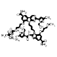 CCn1nc(C)cc1C(=O)Nc1nc2cc(C(N)=O)cc(OCCCOC)c2n1CC=CCn1c2nc(-c3cc(C)nn3CC)ncc2c2cc(C(N)=O)cc(OCCCNC(=O)OC(C)(C)C)c21